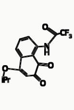 CC(C)OC1=CC(=O)C(=O)c2c(NC(=O)C(F)(F)F)cccc21